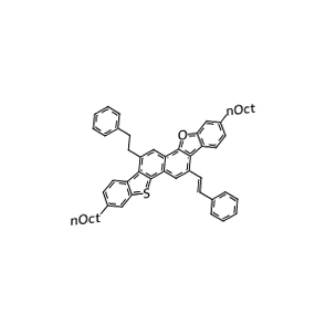 CCCCCCCCc1ccc2c(c1)oc1c3cc(CCc4ccccc4)c4c5ccc(CCCCCCCC)cc5sc4c3cc(/C=C/c3ccccc3)c21